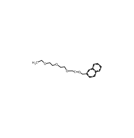 CCOCCOCCOCCOCc1ccc2ccccc2c1